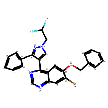 FC(F)Cn1cc(-c2ncnc3cc(Br)c(OCc4ccccc4)cc23)c(-c2ccccc2)n1